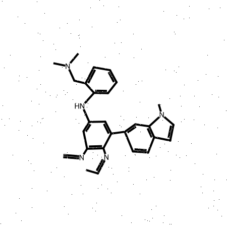 C=Nc1cc(Nc2ccccc2CN(C)C)cc(-c2ccc3ccn(C)c3c2)c1/N=C\C